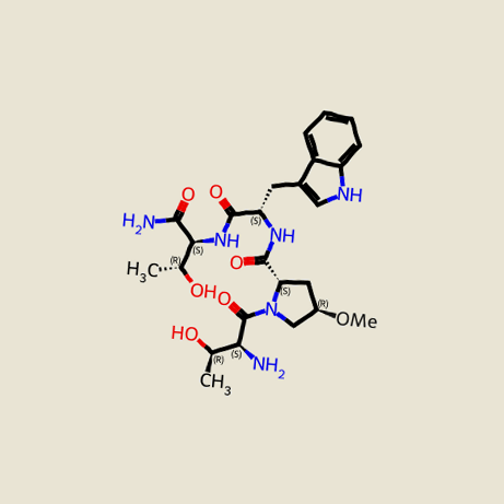 CO[C@@H]1C[C@@H](C(=O)N[C@@H](Cc2c[nH]c3ccccc23)C(=O)N[C@H](C(N)=O)[C@@H](C)O)N(C(=O)[C@@H](N)[C@@H](C)O)C1